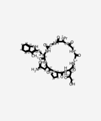 CCCC1NC(=O)CNC(=O)CNC(=O)C(CC(O)CO)NC(=O)C2CCCN2C(=O)C(CC(N)=O)NC(=O)[C@H](CSc2[nH]c3ccccc3c2C)NC(=O)CNC1=O